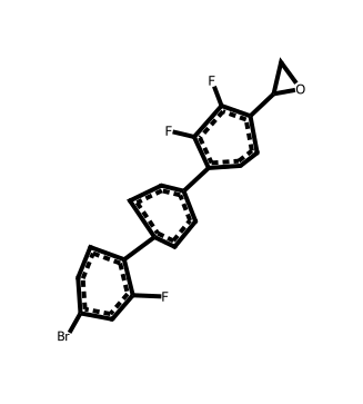 Fc1cc(Br)ccc1-c1ccc(-c2ccc(C3CO3)c(F)c2F)cc1